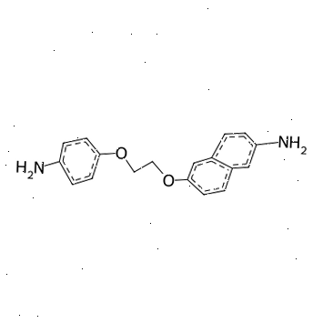 Nc1ccc(OCCOc2ccc3cc(N)ccc3c2)cc1